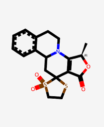 C[C@H]1OC(=O)C2=C1N1CCc3ccccc3C1CC21SCCS1(=O)=O